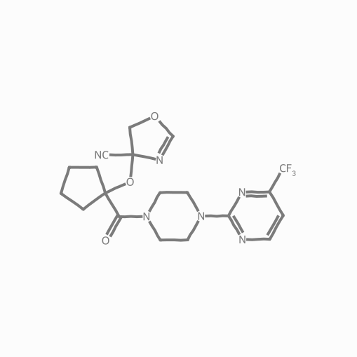 N#CC1(OC2(C(=O)N3CCN(c4nccc(C(F)(F)F)n4)CC3)CCCC2)COC=N1